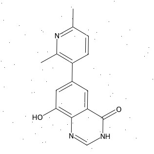 Cc1ccc(-c2cc(O)c3nc[nH]c(=O)c3c2)c(C)n1